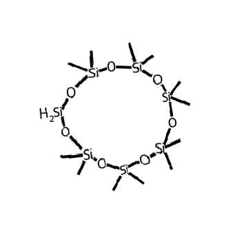 C[Si]1(C)O[SiH2]O[Si](C)(C)O[Si](C)(C)O[Si](C)(C)O[Si](C)(C)O[Si](C)(C)O1